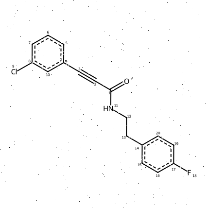 O=C(C#Cc1cccc(Cl)c1)NCCc1ccc(F)cc1